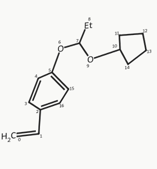 C=Cc1ccc(OC(CC)OC2CCCC2)cc1